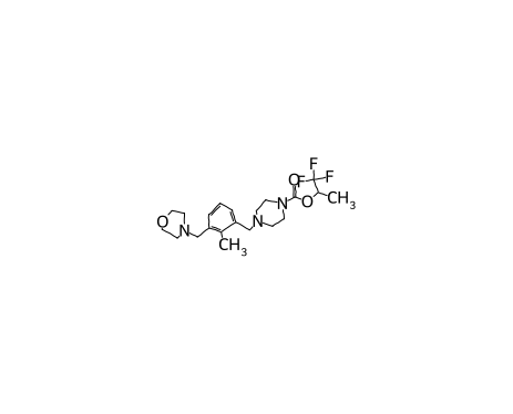 Cc1c(CN2CCOCC2)cccc1CN1CCN(C(=O)OC(C)C(F)(F)F)CC1